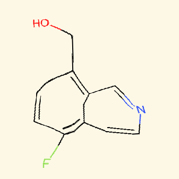 OCc1ccc(F)c2ccncc12